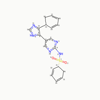 O=S(=O)(Nc1ncc(-c2[nH]cnc2C2C=CC=CC2)cn1)[C@H]1C=CC=CC1